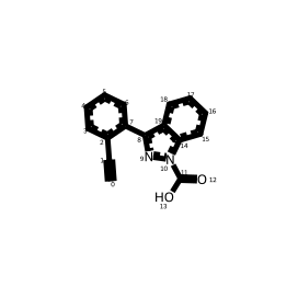 C#Cc1ccccc1-c1nn(C(=O)O)c2ccccc12